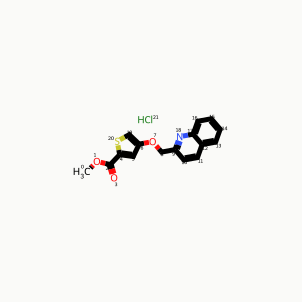 COC(=O)c1cc(OCc2ccc3ccccc3n2)cs1.Cl